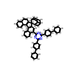 c1ccc(-c2ccc(-c3nc(-c4ccc(-c5ccccc5)cc4)nc(-c4cc5c(c6ccccc46)-c4c(ccc6ccccc46)C54C5CC6CC(C5)CC4C6)n3)cc2)cc1